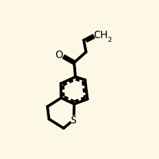 C=CCC(=O)c1ccc2c(c1)CCCS2